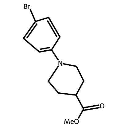 COC(=O)C1CCN(c2ccc(Br)cc2)CC1